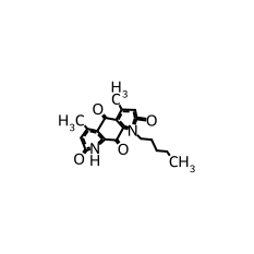 CCCCCn1c2c(c(C)cc1=O)C(=O)c1c(C)cc(=O)[nH]c1C2=O